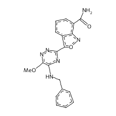 COc1nnc(-c2onc3c(C(N)=O)cccc23)nc1NCc1ccccc1